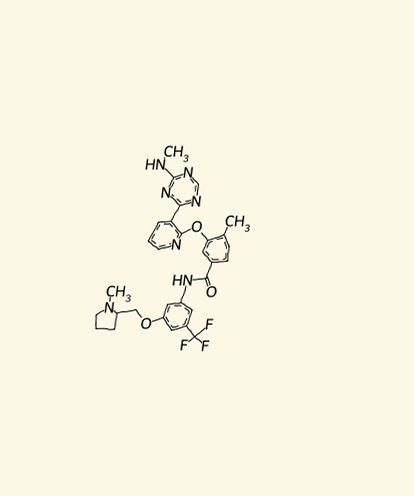 CNc1ncnc(-c2cccnc2Oc2cc(C(=O)Nc3cc(OCC4CCCN4C)cc(C(F)(F)F)c3)ccc2C)n1